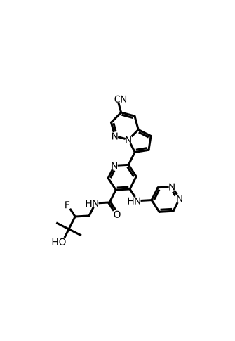 CC(C)(O)C(F)CNC(=O)c1cnc(-c2ccc3cc(C#N)cnn23)cc1Nc1ccnnc1